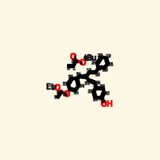 C=CC(=O)OC(C)(C)C.CCOC(C)Oc1ccc(C=C(C=Cc2ccccc2)C=Cc2ccc(O)cc2)cc1